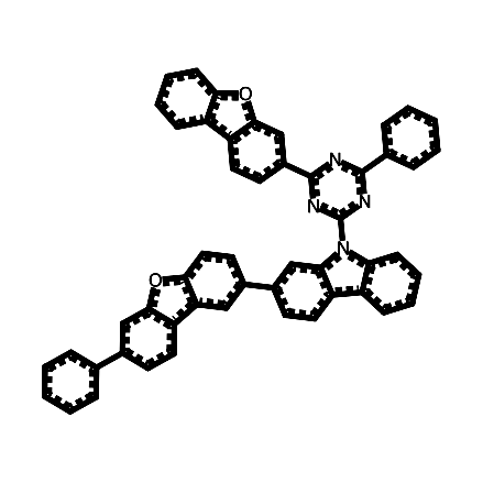 c1ccc(-c2ccc3c(c2)oc2ccc(-c4ccc5c6ccccc6n(-c6nc(-c7ccccc7)nc(-c7ccc8c(c7)oc7ccccc78)n6)c5c4)cc23)cc1